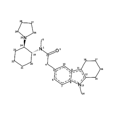 CN(C(=O)Cc1ccc2c(c1)c1c(n2C)CCCC1)[C@@H]1CCCC[C@H]1N1CCCC1